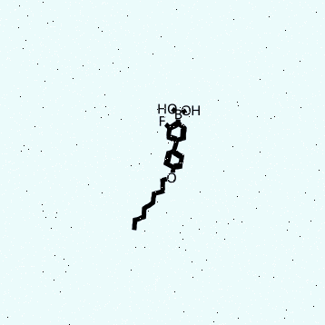 CCCCCCCCOc1ccc(-c2ccc(B(O)O)c(F)c2)cc1